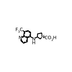 O=C(O)N1CCC(Nc2ccc(C(F)(F)F)c3ncccc23)C1